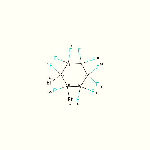 CCC1(F)C(F)(F)C(F)(F)C(F)(F)C(F)(F)C1(F)CC